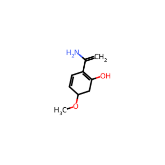 C=C(N)C1=C(O)CC(OC)C=C1